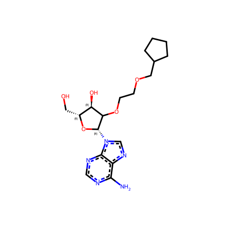 Nc1ncnc2c1ncn2[C@@H]1O[C@H](CO)[C@@H](O)C1OCCOCC1CCCC1